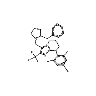 Cc1cc(C)c(N2CCCn3c2nc(C(F)(F)F)c3CN2CCCC2Cc2ccccc2)c(C)c1